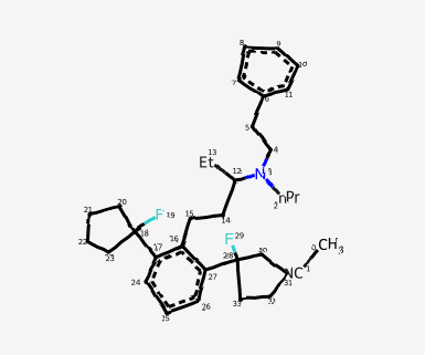 CC#N.CCCN(CCc1ccccc1)C(CC)CCc1c(C2(F)CCCC2)cccc1C1(F)CCCC1